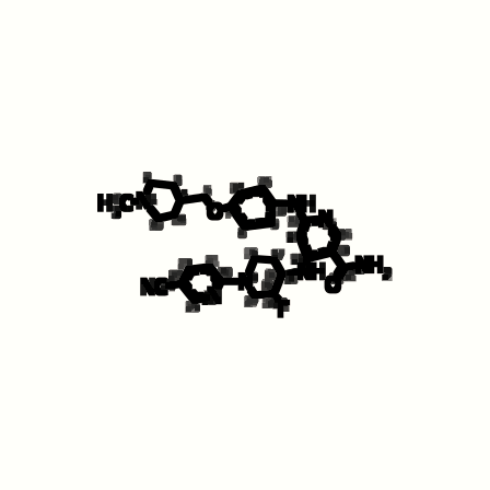 CN1CCC(COc2ccc(Nc3cc(N[C@@H]4CCN(c5ccc(C#N)cn5)C[C@@H]4F)c(C(N)=O)cn3)cc2)CC1